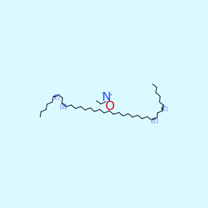 CCCCC/C=C\C/C=C\CCCCCCCCC(CCCCCCCC/C=C\C/C=C\CCCCC)OC(CC)N(C)C